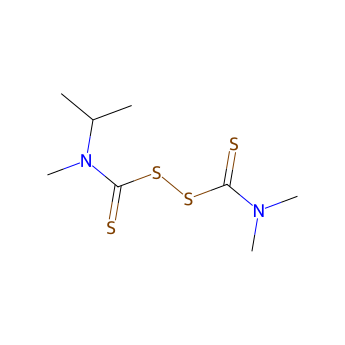 CC(C)N(C)C(=S)SSC(=S)N(C)C